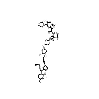 C#CCn1nc(C2CCC(=O)NC2=O)c2cccc(C#CCO[C@H]3CCN(C[C@H]4CC[C@H](n5cc(NC(=O)c6cnn7ccc(N8CCOC[C@@H]8C(F)(F)F)nc67)c(C(F)F)n5)CC4)C[C@H]3F)c21